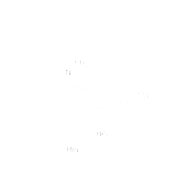 Br.Cc1ccc(O)c(C(CC2C=CC=CN2C)C2CCCCC2)c1